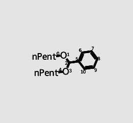 CCCCCOC(OCCCCC)c1ccccc1